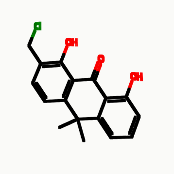 CC1(C)c2cccc(O)c2C(=O)c2c1ccc(CCl)c2O